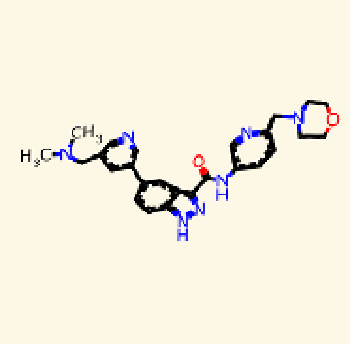 CN(C)Cc1cncc(-c2ccc3[nH]nc(C(=O)Nc4ccc(CN5CCOCC5)nc4)c3c2)c1